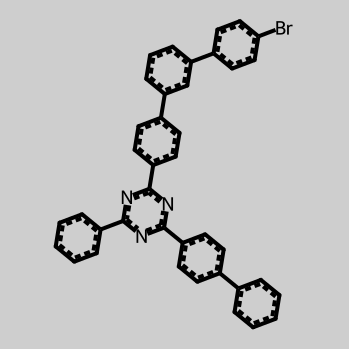 Brc1ccc(-c2cccc(-c3ccc(-c4nc(-c5ccccc5)nc(-c5ccc(-c6ccccc6)cc5)n4)cc3)c2)cc1